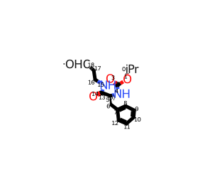 CC(C)OC(=O)N[C@@H](Cc1ccccc1)C(=O)NCC[C]=O